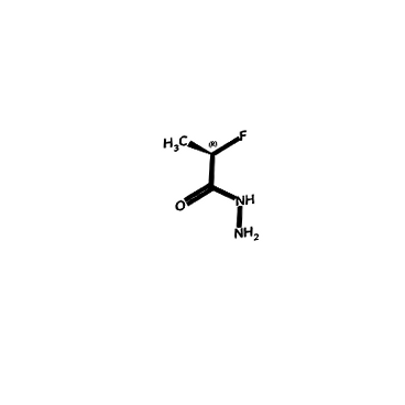 C[C@@H](F)C(=O)NN